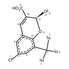 [2H]C([2H])([2H])c1cc(Cl)cc2c1O[C@H](C(F)(F)F)C(C(=O)O)=C2